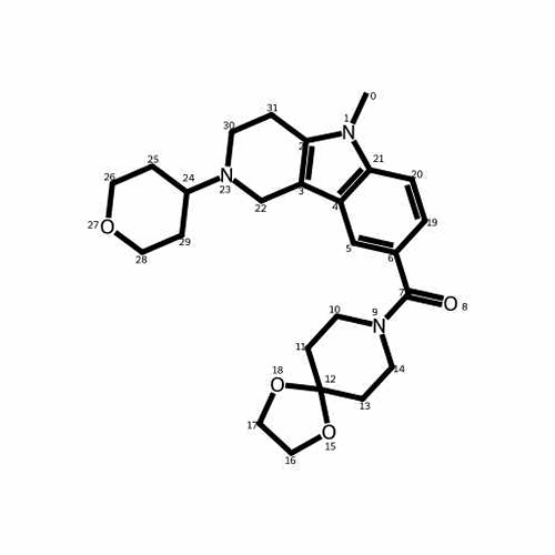 Cn1c2c(c3cc(C(=O)N4CCC5(CC4)OCCO5)ccc31)CN(C1CCOCC1)CC2